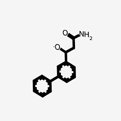 NC(=O)CC([O])c1cccc(-c2ccccc2)c1